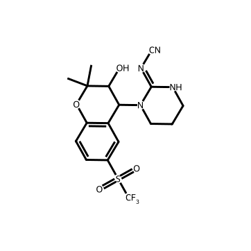 CC1(C)Oc2ccc(S(=O)(=O)C(F)(F)F)cc2C(N2CCCNC2=NC#N)C1O